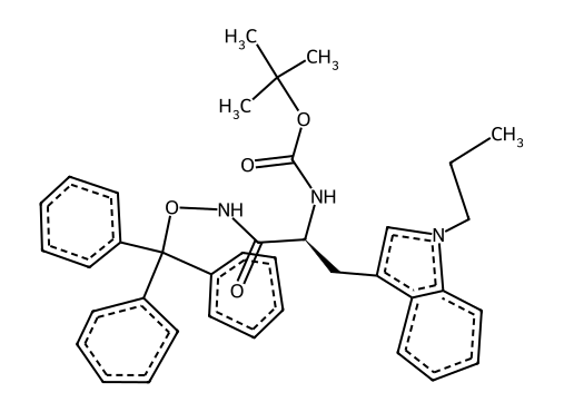 CCCn1cc(C[C@H](NC(=O)OC(C)(C)C)C(=O)NOC(c2ccccc2)(c2ccccc2)c2ccccc2)c2ccccc21